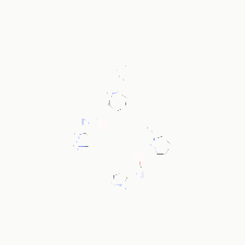 O=C(Cc1cccc(N2CC(F)(F)C2)n1)Nc1nnc([C@H]2CC[C@H](c3nnc(NC(=O)Cc4cccc(N5CC(F)(F)C5)n4)s3)C2)s1